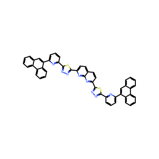 c1cc(-c2nnc(-c3ccc4ccc(-c5nnc(-c6cccc(-c7cc8ccccc8c8ccccc78)n6)s5)nc4n3)s2)nc(-c2cc3ccccc3c3ccccc23)c1